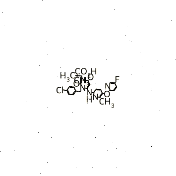 Cc1nc(Nc2cc(=O)n(CC(C)(C)C(=O)O)c(=O)n2Cc2ccc(Cl)cc2)ccc1Oc1ccc(F)cn1